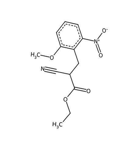 CCOC(=O)C(C#N)Cc1c(OC)cccc1[N+](=O)[O-]